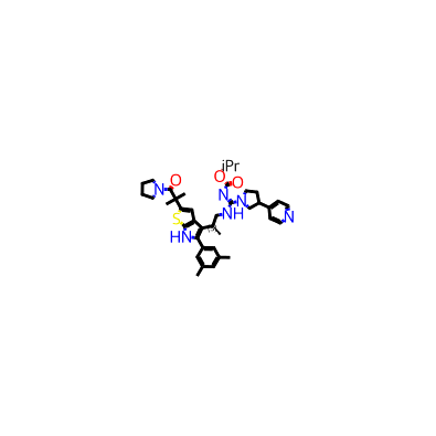 Cc1cc(C)cc(-c2[nH]c3sc(C(C)(C)C(=O)N4CCCC4)cc3c2[C@H](C)CNC(=NC(=O)OC(C)C)N2CCC(c3ccncc3)C2)c1